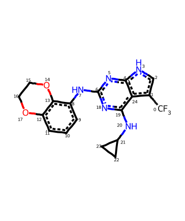 FC(F)(F)c1c[nH]c2nc(Nc3cc[c]c4c3OCCO4)nc(NC3CC3)c12